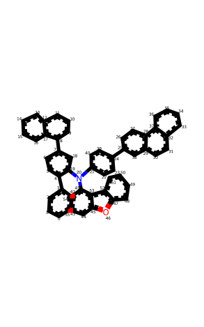 c1ccc(-c2ccc(-c3cccc4ccccc34)cc2N(c2ccc(-c3ccc4c(ccc5ccccc54)c3)cc2)c2cccc3oc4ccccc4c23)cc1